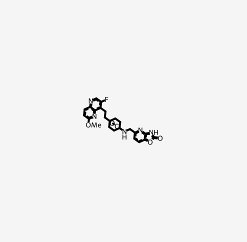 COc1ccc2ncc(F)c(CCC34CCC(NCc5ccc6oc(=O)[nH]c6n5)(CC3)CO4)c2n1